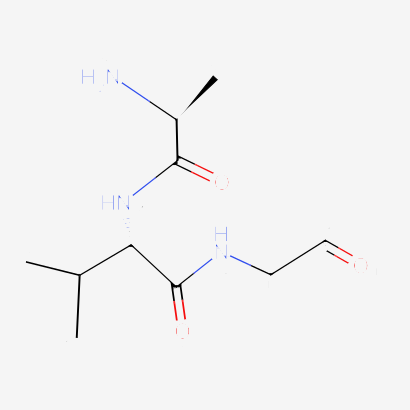 CC(C)[C@H](NC(=O)[C@H](C)N)C(=O)NC[C]=O